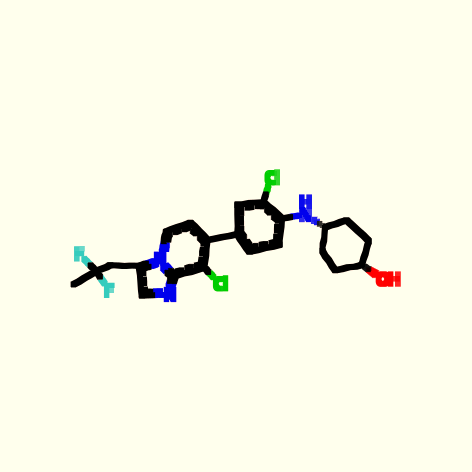 CC(F)(F)Cc1cnc2c(Cl)c(-c3ccc(N[C@H]4CC[C@H](O)CC4)c(Cl)c3)ccn12